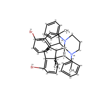 CC[SiH](CC)[Zr]1([CH]2C(C)=Cc3c(Br)cccc32)([CH]2C(C)=Cc3c(Br)cccc32)[N](c2ccccc2)CCC[N]1c1ccccc1